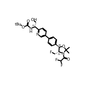 CC(C)(C)OC(=O)N[C@H](CO)c1ccc(-c2ccc([C@H]3OC(C)(C)N(C(=O)C(F)F)[C@@H]3CF)cc2)cn1